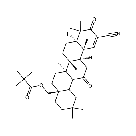 CC1(C)CC[C@]2(COC(=O)C(C)(C)C)CC[C@]3(C)C(C(=O)C[C@@H]4[C@@]5(C)C=C(C#N)C(=O)C(C)(C)[C@@H]5CC[C@]43C)C2C1